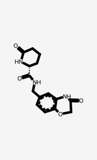 O=C1COc2ccc(CNC(=O)[C@H]3CCCC(=O)N3)cc2N1